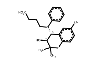 CC1(C)Oc2ccc(C#N)cc2[C@@H](N(CCCC(=O)O)c2ccccc2)[C@@H]1O